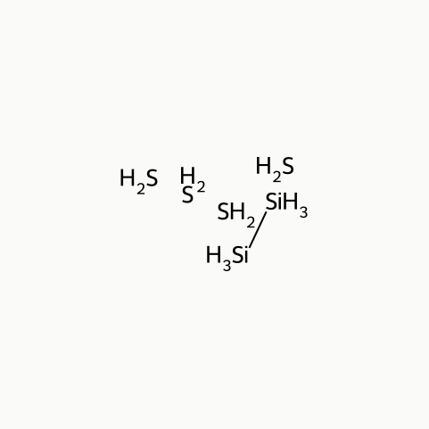 S.S.S.S.[SiH3][SiH3]